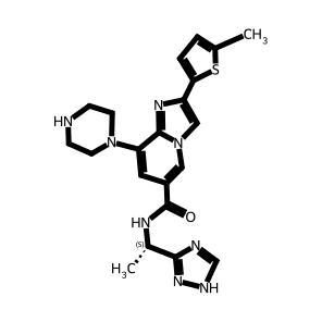 Cc1ccc(-c2cn3cc(C(=O)N[C@@H](C)c4nc[nH]n4)cc(N4CCNCC4)c3n2)s1